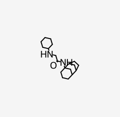 O=C(CNC1CCCCC1)NC12CCCC(C1)C1CCC2C1